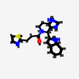 O=C(CCc1nccs1)N1CCc2[nH]cnc2[C@H]1c1cc2ccccc2[nH]1